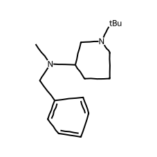 CN(Cc1ccccc1)C1CCCN(C(C)(C)C)C1